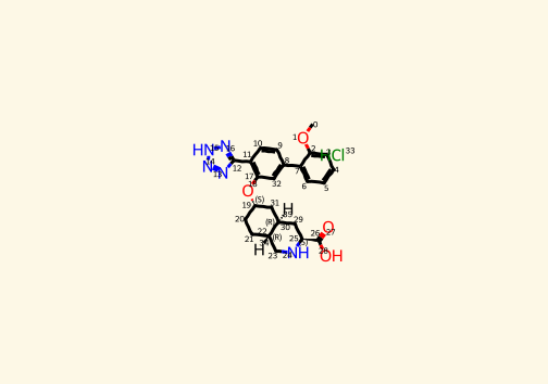 COc1ccccc1-c1ccc(-c2nn[nH]n2)c(O[C@H]2CC[C@H]3CN[C@H](C(=O)O)C[C@@H]3C2)c1.Cl